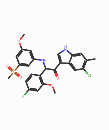 COc1cc(NC(C(=O)c2c[nH]c3cc(C)c(Cl)cc23)c2ccc(F)cc2OC)cc(S(C)(=O)=O)c1